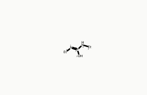 CC/N=[P](\O)NCC